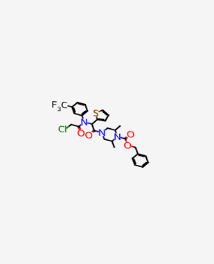 CC1CN(C(=O)C(c2cccs2)N(C(=O)CCl)c2cccc(C(F)(F)F)c2)CC(C)N1C(=O)OCc1ccccc1